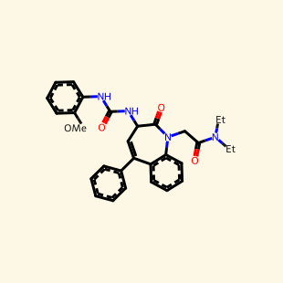 CCN(CC)C(=O)CN1C(=O)C(NC(=O)Nc2ccccc2OC)C=C(c2ccccc2)c2ccccc21